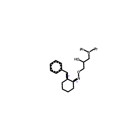 CC(C)N(CC(O)CO/N=C1/CCCC/C1=C\c1ccccc1)C(C)C